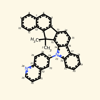 CC1(C)c2c(ccc3ccccc23)-c2ccc3c4ccccc4n(-c4ccc5ncccc5c4)c3c21